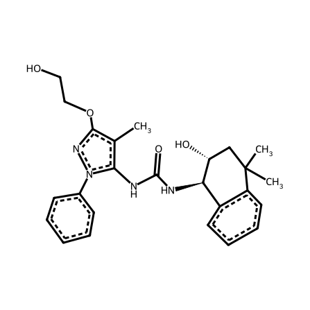 Cc1c(OCCO)nn(-c2ccccc2)c1NC(=O)N[C@@H]1c2ccccc2C(C)(C)C[C@H]1O